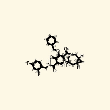 O=C(NCc1ccc(F)cc1F)c1cn2c(c(OCc3ccccc3)c1=O)C(=O)N1C[C@@H]3C[C@@H]3C[C@H]2C1